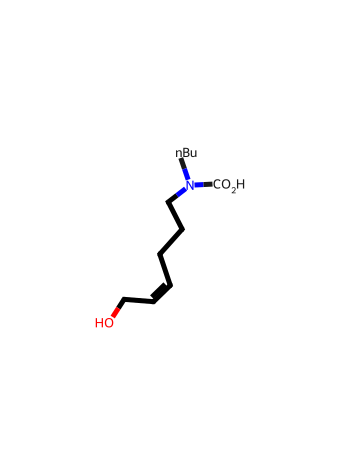 CCCCN(CCC/C=C\CO)C(=O)O